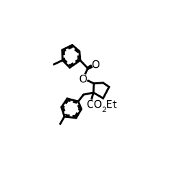 CCOC(=O)C1(Cc2ccc(C)cc2)CCCC1OC(=O)c1cccc(C)c1